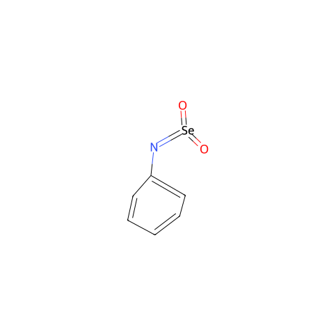 O=[Se](=O)=Nc1ccccc1